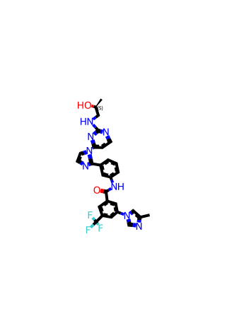 Cc1cn(-c2cc(C(=O)Nc3cccc(-c4nccn4-c4ccnc(NC[C@H](C)O)n4)c3)cc(C(F)(F)F)c2)cn1